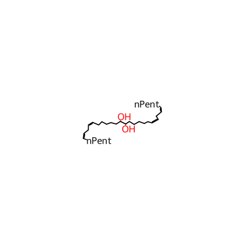 CCCCC/C=C\C/C=C\CCCCCC(O)C(O)CCCCC/C=C\C/C=C\CCCCC